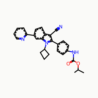 CC(C)OC(=O)Nc1ccc(-c2c(C#N)c3ccc(-c4ccccn4)cc3n2C2CCC2)cc1